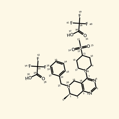 C[C@@H]1Cc2ncnc(N3CCC(S(C)(=O)=O)CC3)c2CN1Cc1ccccc1.O=C(O)C(F)(F)F.O=C(O)C(F)(F)F